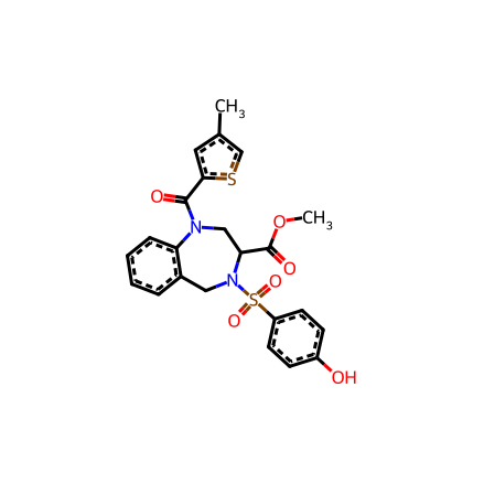 COC(=O)C1CN(C(=O)c2cc(C)cs2)c2ccccc2CN1S(=O)(=O)c1ccc(O)cc1